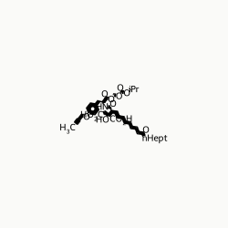 CC#CCOc1ccc(C[C@H](NC(=O)[C@@H](/C=C/CCCCCCC(=O)CCCCCCC)[C@@](O)(CC(=O)O)C(=O)O)C(=O)OCOC(=O)OC(C)C)cc1